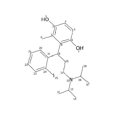 Cc1c(O)ccc(O)c1C(CCN(C(C)C)C(C)C)c1ccccc1I